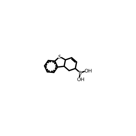 OB(O)C1C=CC2Sc3ccccc3C2C1